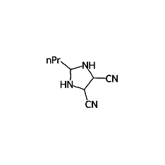 CCCC1NC(C#N)C(C#N)N1